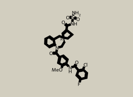 COc1cc(C(=O)N2CC[C@]3(C=C(C(=O)NS(N)(=O)=O)CC3)Cc3ccccc32)ccc1NC(=O)c1cc(F)ccc1Cl